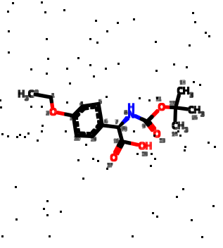 CCOc1ccc([C@@H](NC(=O)OC(C)(C)C)C(=O)O)cc1